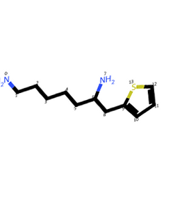 NCCCCCC(N)Cc1cccs1